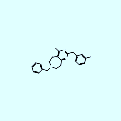 Cc1cccc(Cc2nc(Cl)c3c(n2)CCN(Cc2ccccc2)CC3)c1